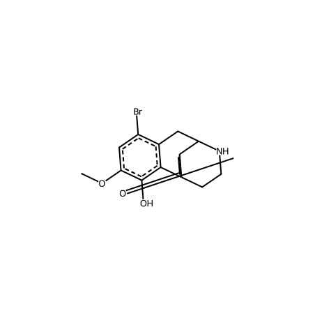 COc1cc(Br)c2c(c1O)C13CCNC(C2)C1CCC(=O)C3